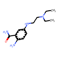 CCN(CC)CCNc1ccc(N)c(C(N)=O)c1